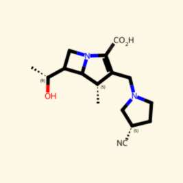 C[C@@H](O)C1CN2C(C(=O)O)=C(CN3CC[C@H](C#N)C3)[C@H](C)C12